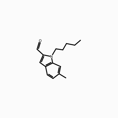 CCCCCn1c(C=O)cc2ccc(C)cc21